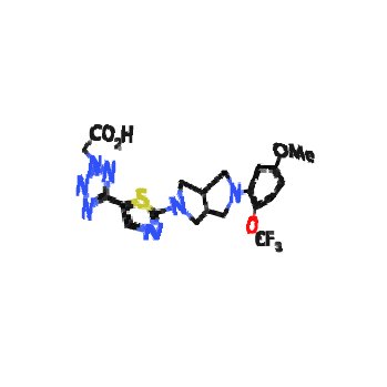 COc1ccc(OC(F)(F)F)c(N2CC3CN(c4ncc(-c5nnn(CC(=O)O)n5)s4)CC3C2)c1